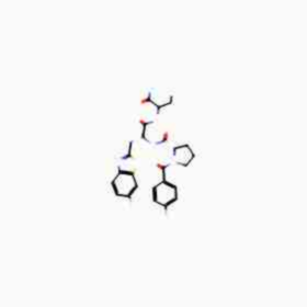 CC(C)CC(NC(=O)[C@H](Cc1nc2ccc(F)cc2s1)NC(=O)[C@@H]1CCCN1C(=O)c1ccc(F)cc1)C(N)=O